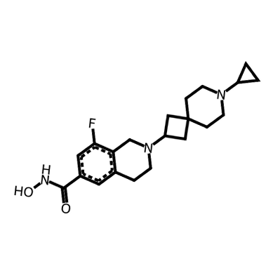 O=C(NO)c1cc(F)c2c(c1)CCN(C1CC3(CCN(C4CC4)CC3)C1)C2